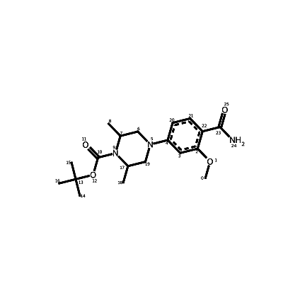 COc1cc(N2CC(C)N(C(=O)OC(C)(C)C)C(C)C2)ccc1C(N)=O